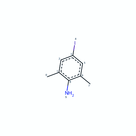 Cc1cc(I)cc(C)c1N